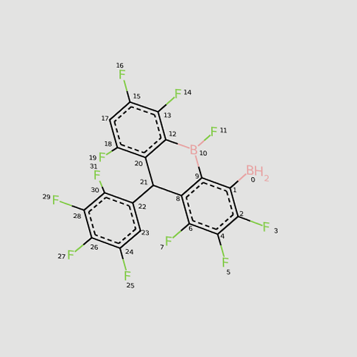 Bc1c(F)c(F)c(F)c2c1B(F)c1c(F)c(F)cc(F)c1C2c1cc(F)c(F)c(F)c1F